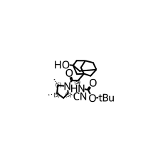 C[C@H]1C[C@@H](C#N)N(C(=O)[C@@H](NC(=O)OC(C)(C)C)C23CC4CC(CC(O)(C4)C2)C3)[C@H]1C